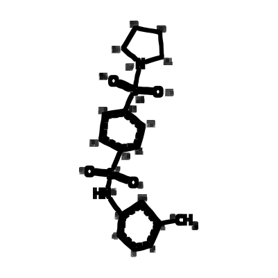 Cc1cccc(NS(=O)(=O)c2ccc(S(=O)(=O)N3CCCC3)cc2)c1